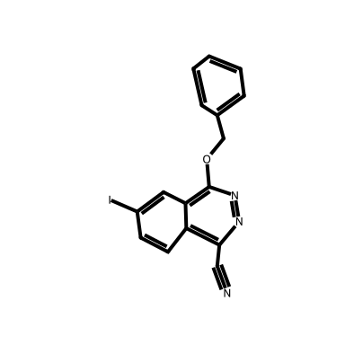 N#Cc1nnc(OCc2ccccc2)c2cc(I)ccc12